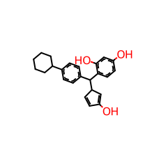 OC1=CC(C(c2ccc(C3CCCCC3)cc2)c2ccc(O)cc2O)C=C1